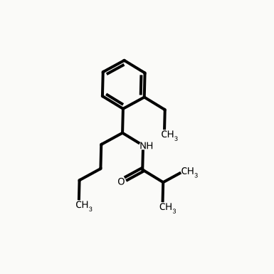 CCCCC(NC(=O)C(C)C)c1ccccc1CC